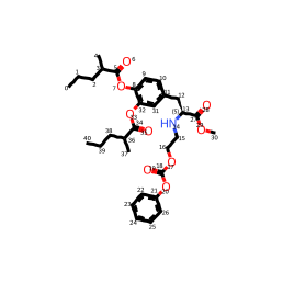 CCCC(C)C(=O)Oc1ccc(C[C@H](NCCOC(=O)Oc2ccccc2)C(=O)OC)cc1OC(=O)C(C)CCC